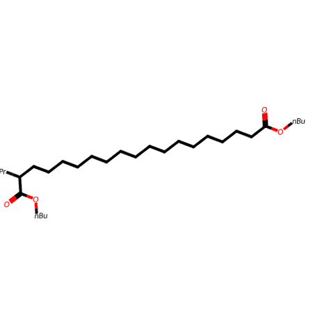 CCCCOC(=O)CCCCCCCCCCCCCCCCC(C(=O)OCCCC)C(C)C